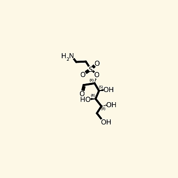 NCCS(=O)(=O)O[C@@H](C=O)[C@@H](O)[C@H](O)[C@H](O)CO